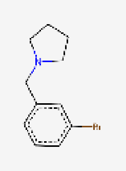 Brc1cccc(CN2CCCC2)c1